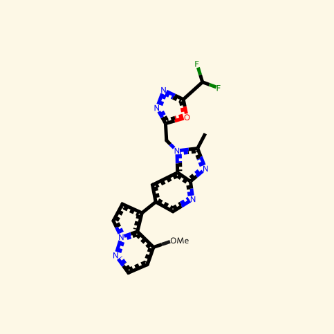 COc1ccnn2ccc(-c3cnc4nc(C)n(Cc5nnc(C(F)F)o5)c4c3)c12